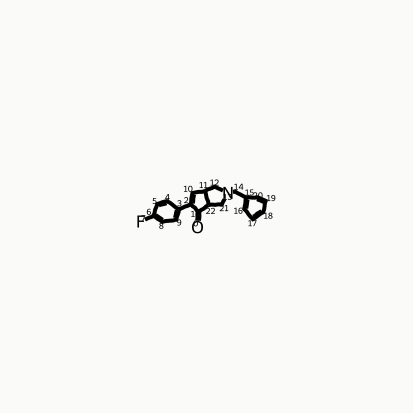 O=C1C(c2ccc(F)cc2)=CC2CN(Cc3ccccc3)CC12